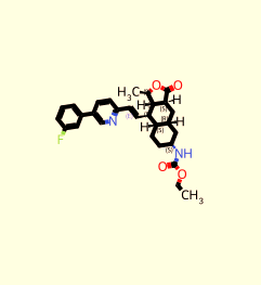 CCOC(=O)N[C@H]1CC[C@H]2[C@@H](C1)C[C@@H]1C(=O)O[C@H](C)[C@H]1[C@@H]2/C=C/c1ccc(-c2cccc(F)c2)cn1